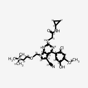 COc1cc(Cl)c(-c2nc(SCC(=O)NC3CC3)nc3c2c(C#N)cn3COCC[Si](C)(C)C)cc1O